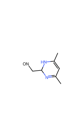 CC1=CC(C)=NC(CN=O)N1